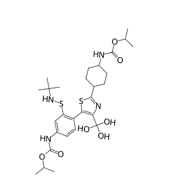 CC(C)OC(=O)Nc1ccc(-c2sc(C3CCC(NC(=O)OC(C)C)CC3)nc2C(O)(O)O)c(SNC(C)(C)C)c1